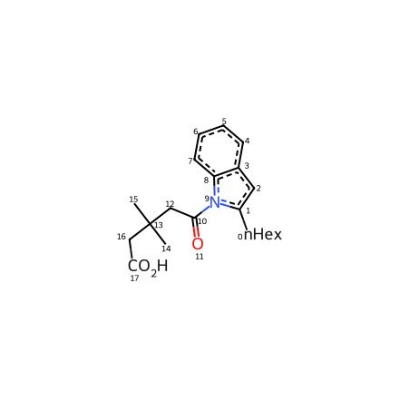 CCCCCCc1cc2ccccc2n1C(=O)CC(C)(C)CC(=O)O